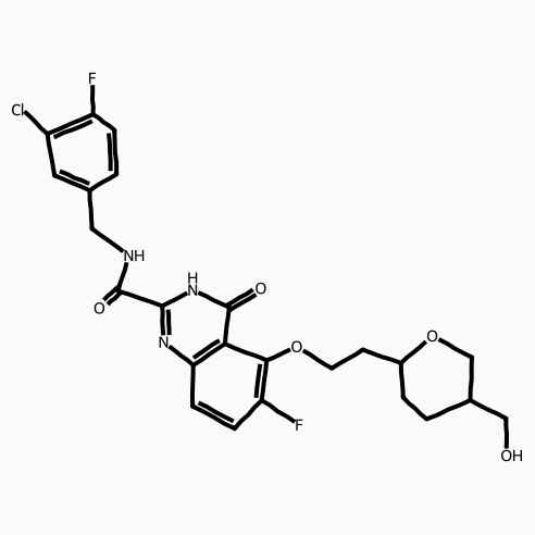 O=C(NCc1ccc(F)c(Cl)c1)c1nc2ccc(F)c(OCCC3CCC(CO)CO3)c2c(=O)[nH]1